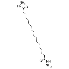 NNC(=O)CCCCCCCCCCCCCCCCC(=O)NN